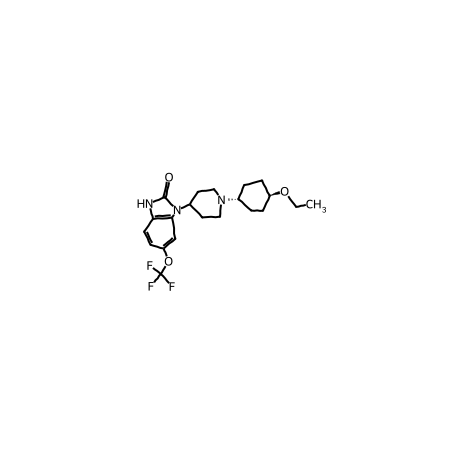 CCO[C@H]1CC[C@H](N2CCC(n3c(=O)[nH]c4ccc(OC(F)(F)F)cc43)CC2)CC1